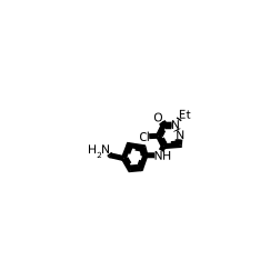 CCn1ncc(Nc2ccc(CN)cc2)c(Cl)c1=O